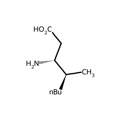 CCCC[C@H](C)[C@H](N)CC(=O)O